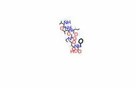 CC[C@@H](C)[C@@H]([C@@H](CC(=O)N1CCC[C@H]1[C@H](OC)[C@@H](C)C(=O)N[C@@H](Cc1ccccc1)C(=O)O)OC)N(C)C(=O)[C@@H](NC(=O)[C@@H](NC)C(C)C)C(C)C